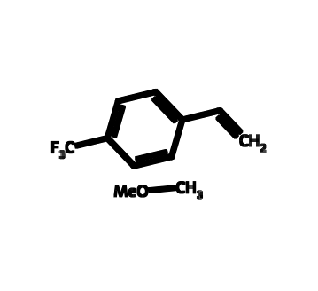 C=Cc1ccc(C(F)(F)F)cc1.COC